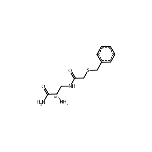 NC(=O)[C@@H](N)CNC(=O)CSCc1ccccc1